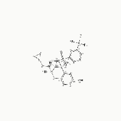 C[C@]12CCN(CC3CC3)[C@H](Cc3ccc(O)cc31)[C@H]2NS(=O)(=O)c1cccc(C(F)(F)F)c1